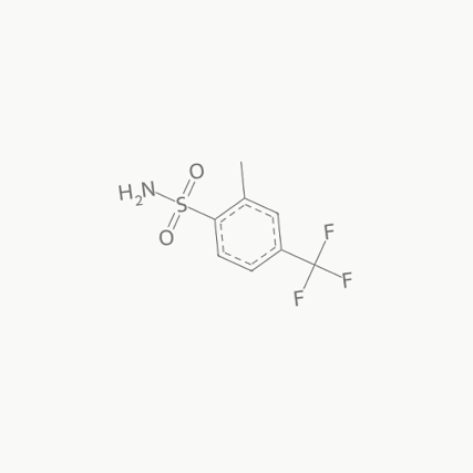 Cc1cc(C(F)(F)F)ccc1S(N)(=O)=O